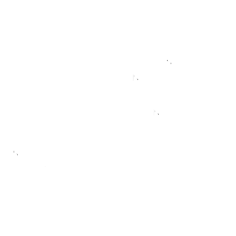 c1ccc2c(c1)[nH]c1nc3ccc(Cc4ccc5ncoc5c4)cc3nc12